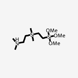 CO[Si](CC[Si](C)(C)CC[SiH](C)C)(OC)OC